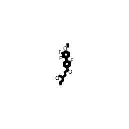 CCCC(C=O)CCC(=O)c1ccc(-c2ccc(OCC)c(F)c2F)c(F)c1